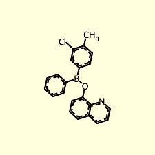 Cc1ccc(B(Oc2cccc3cccnc23)c2ccccc2)cc1Cl